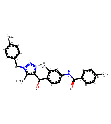 CCOC(=O)c1c(C(O)c2ccc(NC(=O)c3ccc(C)cc3)cc2[N+](=O)[O-])nnn1Cc1ccc(OC)cc1